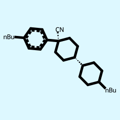 CCCCc1ccc([C@]2(C#N)CC[C@@H](C3CCC(CCCC)CC3)CC2)cc1